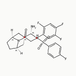 N[C@H](Cc1cc(F)c(F)cc1F)[C@@H]1C[C@H]2CC[C@@H](C1)N2C(=O)CNS(=O)(=O)c1ccc(F)cc1